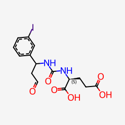 O=CCC(NC(=O)N[C@@H](CCC(=O)O)C(=O)O)c1cccc(I)c1